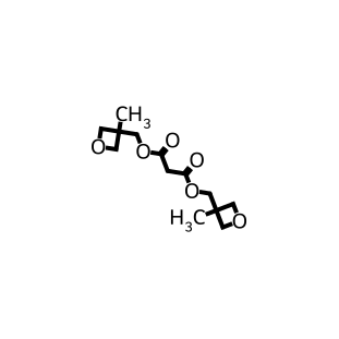 CC1(COC(=O)CC(=O)OCC2(C)COC2)COC1